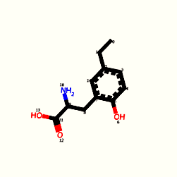 CCc1ccc(O)c(CC(N)C(=O)O)c1